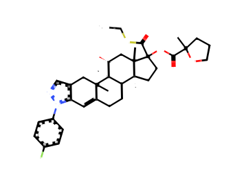 CC1(C(=O)OC2(C(=O)SCC#N)CC[C@H]3C4CCC5=Cc6c(cnn6-c6ccc(F)cc6)CC5(C)[C@H]4[C@@H](O)CC32C)CCCO1